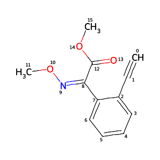 C#Cc1ccccc1/C(=N/OC)C(=O)OC